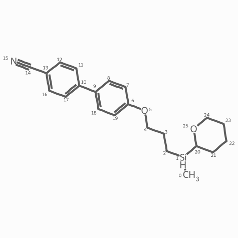 C[SiH](CCCOc1ccc(-c2ccc(C#N)cc2)cc1)C1CCCCO1